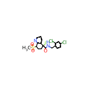 CS(=O)(=O)C1CC[C@@](F)(C(=O)NCc2ccc(Cl)cc2Cl)c2cccnc21